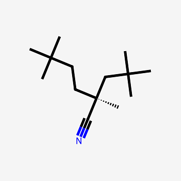 CC(C)(C)CC[C@](C)(C#N)CC(C)(C)C